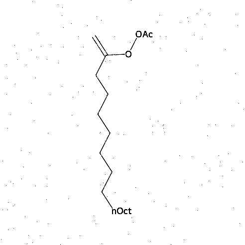 C=C(CCCCCCCCCCCCCCC)OOC(C)=O